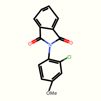 COc1ccc(N2C(=O)c3ccccc3C2=O)c(Cl)c1